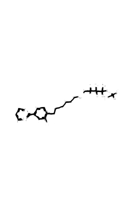 CCCCCCCCc1cc(-c2ncccn2)ccc1CCCCCCOCC(F)(F)C(F)(F)C(F)(F)OC(F)(F)C(F)(F)F